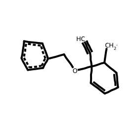 C#CC1(OCc2ccccc2)C=CC=CC1[CH2]